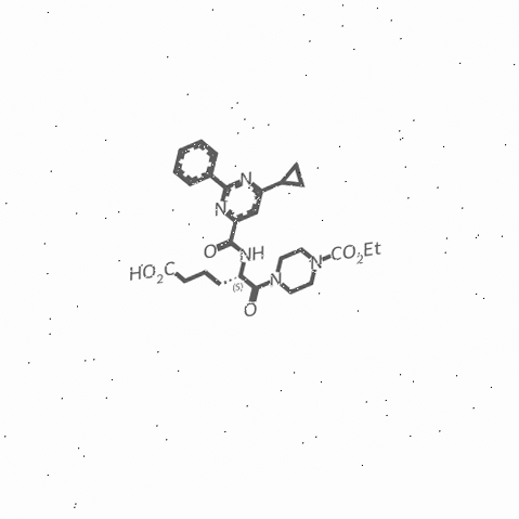 CCOC(=O)N1CCN(C(=O)[C@H](CCCC(=O)O)NC(=O)c2cc(C3CC3)nc(-c3ccccc3)n2)CC1